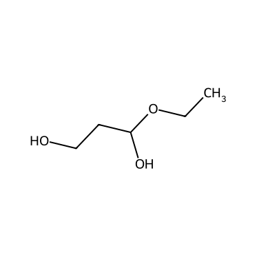 CCOC(O)CCO